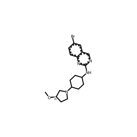 CO[C@@H]1CCN(C2CCC(Nc3ncc4cc(Br)ccc4n3)CC2)C1